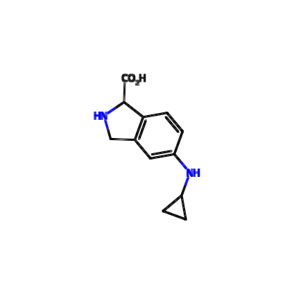 O=C(O)C1NCc2cc(NC3CC3)ccc21